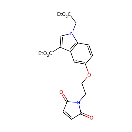 CCOC(=O)Cn1cc(C(=O)OCC)c2cc(OCCN3C(=O)C=CC3=O)ccc21